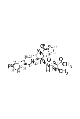 CC(=O)c1sc(NC(=O)N[C@H]2CN(C(=O)C3CCCC3)CC[C@H]2CN2CCC[C@@H](Cc3ccc(F)cc3)C2)nc1C